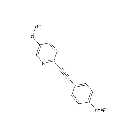 CCCCCCCc1ccc(C#Cc2ccc(OCCC)cn2)cc1